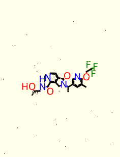 Cc1cc(C(C)N2Cc3c(ccnc3C(=O)NC[C@@H](C)O)C2=O)cnc1OCC(F)(F)F